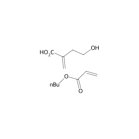 C=C(CCO)C(=O)O.C=CC(=O)OCCCC